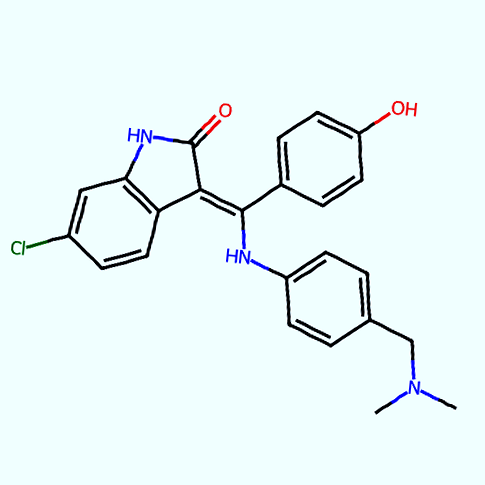 CN(C)Cc1ccc(NC(=C2C(=O)Nc3cc(Cl)ccc32)c2ccc(O)cc2)cc1